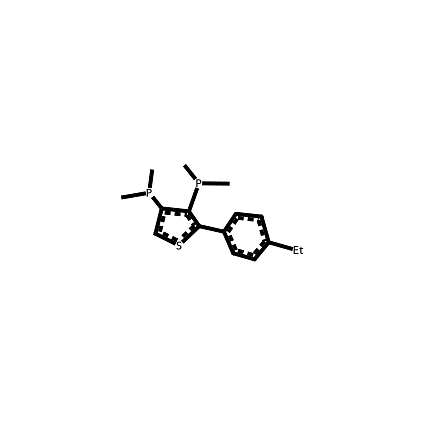 CCc1ccc(-c2scc(P(C)C)c2P(C)C)cc1